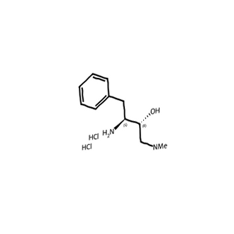 CNC[C@@H](O)[C@@H](N)Cc1ccccc1.Cl.Cl